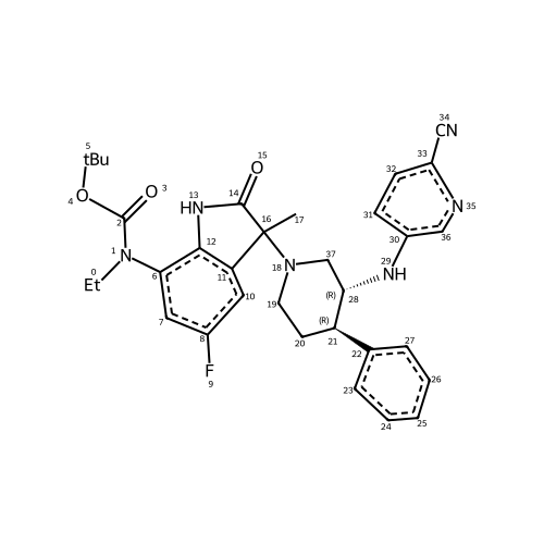 CCN(C(=O)OC(C)(C)C)c1cc(F)cc2c1NC(=O)C2(C)N1CC[C@H](c2ccccc2)[C@@H](Nc2ccc(C#N)nc2)C1